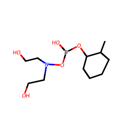 CC1CCCCC1OB(O)ON(CCO)CCO